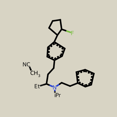 CC#N.CCC(CCc1ccc(C2CCCC2F)cc1)N(CCc1ccccc1)C(C)C